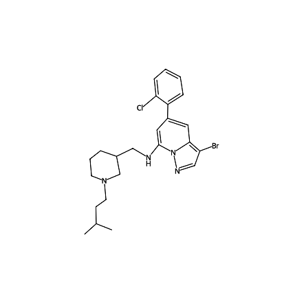 CC(C)CCN1CCCC(CNc2cc(-c3ccccc3Cl)cc3c(Br)cnn23)C1